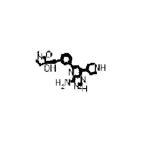 [2H]c1nc(N)c2nc(-c3cccc(C#C[C@]4(O)CCN(C)C4=O)c3)cc(C3CCNCC3)c2n1